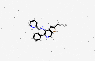 CCOC(=O)Cc1cc2c(NCc3ccccn3)c(-c3ccccc3)ncc2s1